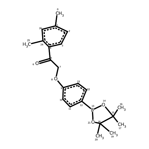 Cc1ccc(C(=O)COc2ccc(B3OC(C)(C)C(C)(C)O3)cc2)c(C)c1